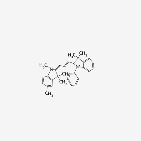 Cc1ccc2c(c1)C(C)(C)/C(=C\C=C\C1=[N+](c3ccccc3)c3ccccc3C1(C)C)N2C